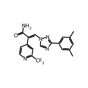 Cc1cc(C)cc(-c2ncn(/C=C(/C(N)=O)c3ccnc(C(F)(F)F)c3)n2)c1